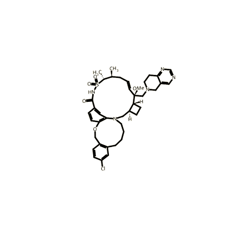 CO[C@]1(CN2CCc3ncncc3C2)/C=C/C[C@H](C)[C@@H](C)S(=O)(=O)NC(=O)c2ccc3c(c2)N(CCCCc2cc(Cl)ccc2CO3)C[C@@H]2CC[C@H]21